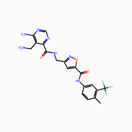 Cc1ccc(NC(=O)c2cc(CNC(=O)c3ncnc(N)c3CN)no2)cc1C(F)(F)F